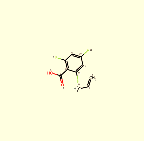 C=CC.O=C(O)c1c(F)cc(F)cc1F